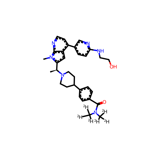 [2H]C([2H])([2H])N(C(=O)c1ccc(C2CCN([C@@H](C)c3cc4c(-c5ccc(NCCO)nc5)ccnc4n3C)CC2)cc1)C([2H])([2H])[2H]